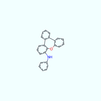 c1ccc(Nc2cccc3c2Oc2ccccc2-c2ccccc2-3)cc1